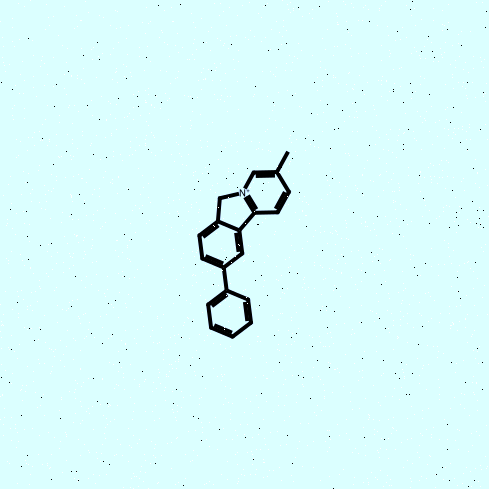 Cc1ccc2[n+](c1)Cc1ccc(-c3ccccc3)cc1-2